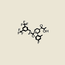 Cc1cc(F)ccc1[C@@H]1C[C@H](C(=O)C(C)O)CCN1C(=O)N(C)Cc1cc(C(F)(F)F)cc(C(F)(F)F)c1